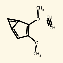 C#C.COc1cc2cc-2c1OC